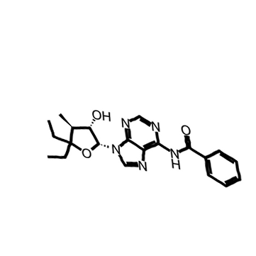 CCC1(CC)O[C@@H](n2cnc3c(NC(=O)c4ccccc4)ncnc32)[C@@H](O)[C@@H]1C